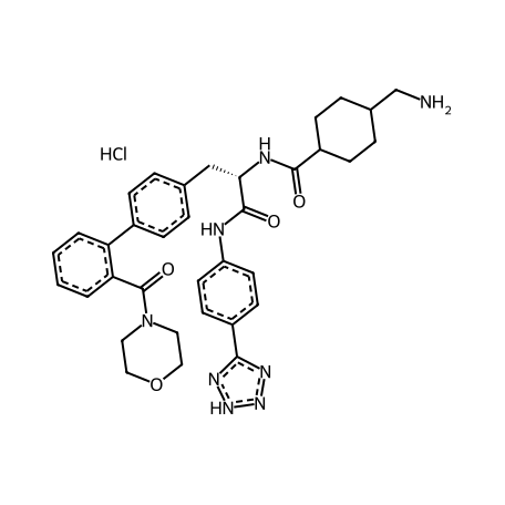 Cl.NCC1CCC(C(=O)N[C@@H](Cc2ccc(-c3ccccc3C(=O)N3CCOCC3)cc2)C(=O)Nc2ccc(-c3nn[nH]n3)cc2)CC1